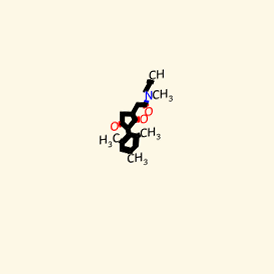 C#CCN(C)C(=O)CC1CC(=O)C(c2c(C)cc(C)cc2C)C1=O